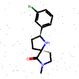 CN1CC[C@@]2(CC[C@@H](c3cccc(Br)c3)N2)C1=O